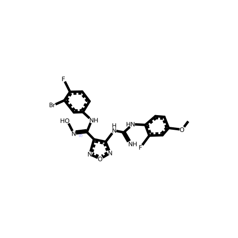 COc1ccc(NC(=N)Nc2nonc2/C(=N/O)Nc2ccc(F)c(Br)c2)c(F)c1